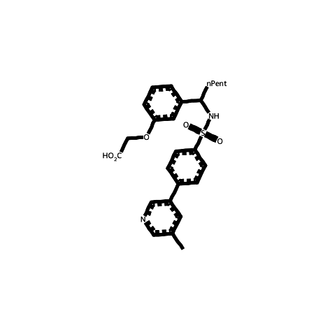 CCCCCC(NS(=O)(=O)c1ccc(-c2cncc(C)c2)cc1)c1cccc(OCC(=O)O)c1